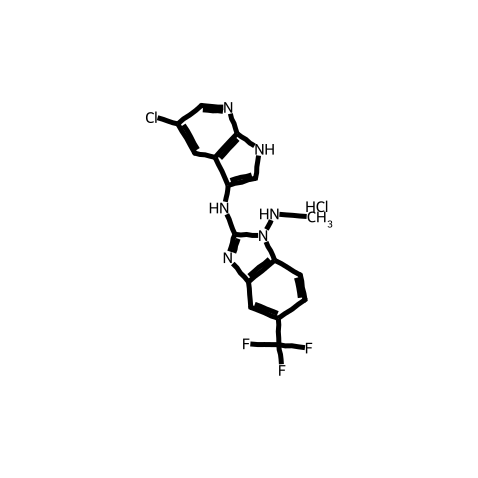 CNn1c(Nc2c[nH]c3ncc(Cl)cc23)nc2cc(C(F)(F)F)ccc21.Cl